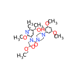 CCOC(=O)CN(C(=O)N1CCN(c2cc(OC)cc(OC)c2)CC1)c1cc(C(C)O)c(C)nc1OC